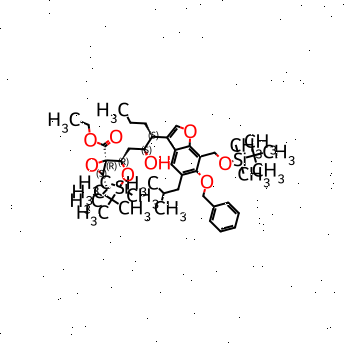 CCC[C@@H](c1coc2c(CO[Si](C)(C)C(C)(C)C)c(OCc3ccccc3)c(CC(C)C)cc12)[C@@H](O)C[C@@H](O[Si](C)(C)C(C)(C)C)[C@]1(C(=O)OCC)O[C@H]1CC